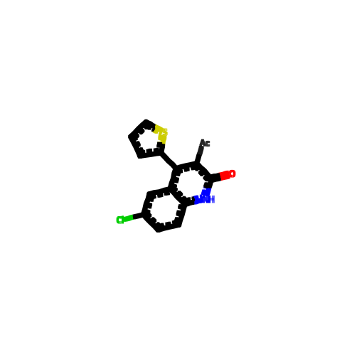 CC(=O)c1c(-c2cccs2)c2cc(Cl)ccc2[nH]c1=O